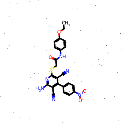 CCOc1ccc(NC(=O)CSc2nc(N)c(C#N)c(-c3ccc([N+](=O)[O-])cc3)c2C#N)cc1